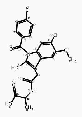 COc1cc2c(CC(=O)NC(C)C(=O)O)c(C)n(C(=O)c3ccc(Cl)cc3)c2cc1Cl